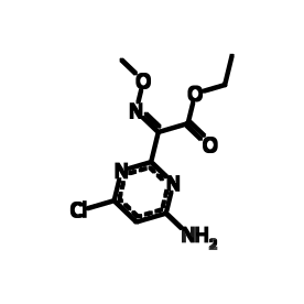 CCOC(=O)/C(=N\OC)c1nc(N)cc(Cl)n1